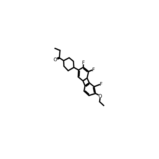 CCOc1ccc2c(c1F)C1C(F)=C(F)C(C3CCC(C(=O)CC)CC3)=CC21